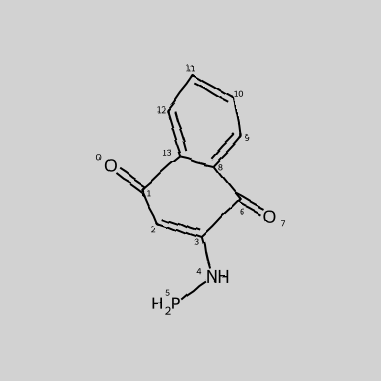 O=C1C=C(NP)C(=O)c2ccccc21